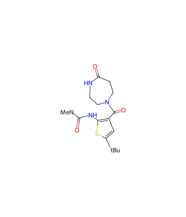 CNC(=O)Nc1sc(C(C)(C)C)cc1C(=O)N1CCNC(=O)CC1